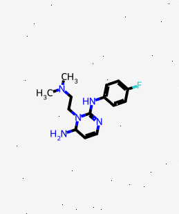 CN(C)CCN1C(Nc2ccc(F)cc2)=NC=CC1N